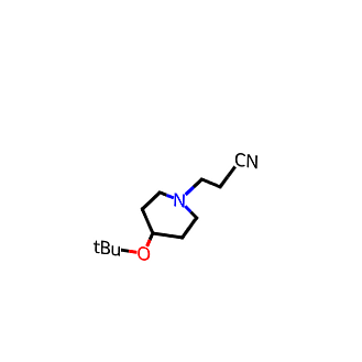 CC(C)(C)OC1CCN(CCC#N)CC1